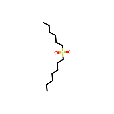 CCCCCCCS(=O)(=O)CCCCCC